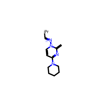 C=C1N=C(N2CCCCC2)C=CN1/N=C/C(C)C